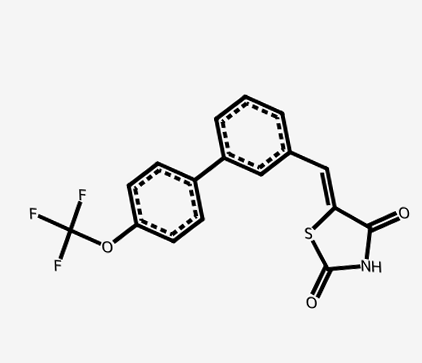 O=C1NC(=O)C(=Cc2cccc(-c3ccc(OC(F)(F)F)cc3)c2)S1